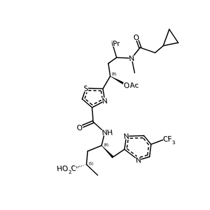 CC(=O)O[C@H](CC(C(C)C)N(C)C(=O)CC1CC1)c1nc(C(=O)N[C@@H](Cc2ncc(C(F)(F)F)cn2)C[C@H](C)C(=O)O)cs1